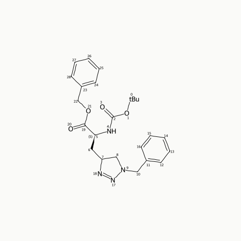 CC(C)(C)OC(=O)N[C@@H](CC1CN(Cc2ccccc2)N=N1)C(=O)OCc1ccccc1